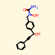 NC(=O)N(O)Cc1ccc(C(O)C#Cc2ccccc2)cc1